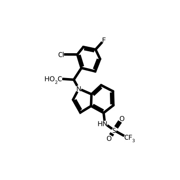 O=C(O)C(c1ccc(F)cc1Cl)n1ccc2c(NS(=O)(=O)C(F)(F)F)cccc21